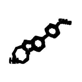 CSc1ccc(-c2ccc3c(c2)cc2n3CCNCC2)cc1